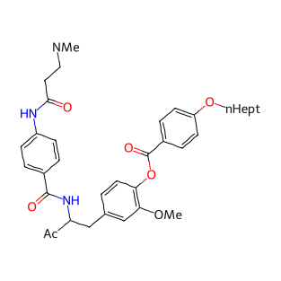 CCCCCCCOc1ccc(C(=O)Oc2ccc(CC(NC(=O)c3ccc(NC(=O)CCNC)cc3)C(C)=O)cc2OC)cc1